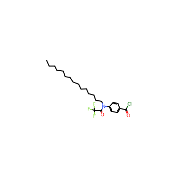 CCCCCCCCCCCCCCCN(C(=O)C(F)(F)F)c1ccc(C(=O)Cl)cc1